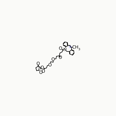 C/C1=C/c2ccccc2N(C(=O)CCC(=O)CCOCCOCCC(=O)ON2C(=O)CCC2=O)Cc2ccccc21